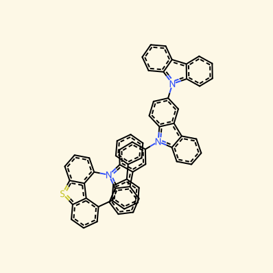 c1ccc(-c2cccc(-c3cccc4sc5cccc(-n6c7ccccc7c7cc(-n8c9ccccc9c9cc(-n%10c%11ccccc%11c%11ccccc%11%10)ccc98)ccc76)c5c34)c2)cc1